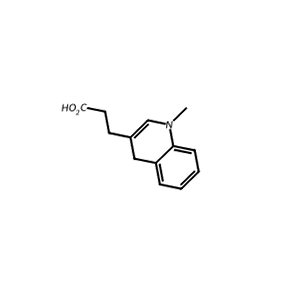 CN1C=C(CCC(=O)O)Cc2ccccc21